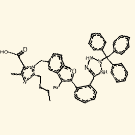 CCCCc1nc(C)c(C(=O)O)n1Cc1ccc2oc(-c3ccccc3C3=NNN(C(c4ccccc4)(c4ccccc4)c4ccccc4)N3)c(Br)c2c1